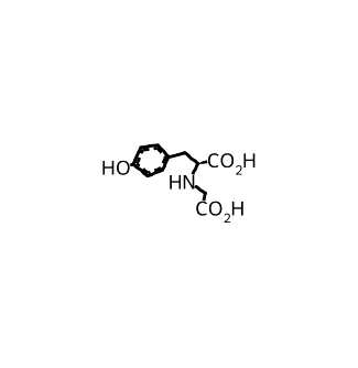 O=C(O)CN[C@@H](Cc1ccc(O)cc1)C(=O)O